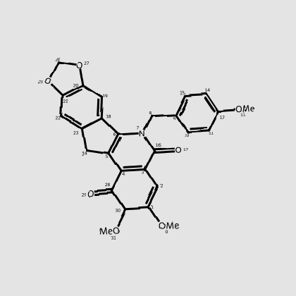 COC1=Cc2c(c3c(n(Cc4ccc(OC)cc4)c2=O)-c2cc4c(cc2C3)OCO4)C(=O)C1OC